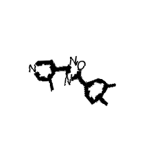 Cc1ccc(-c2nc(-c3ccncc3C)no2)cc1C